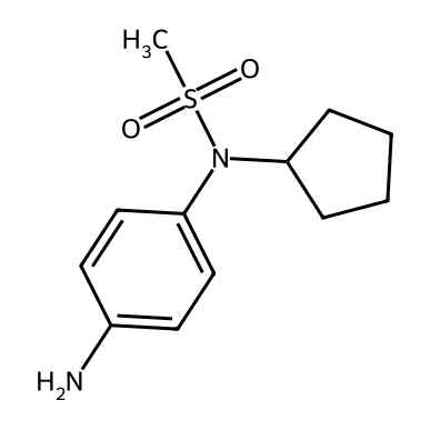 CS(=O)(=O)N(c1ccc(N)cc1)C1CCCC1